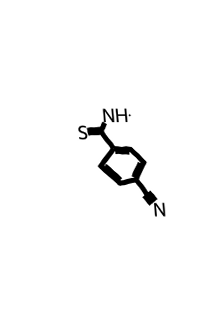 N#Cc1ccc(C([NH])=S)cc1